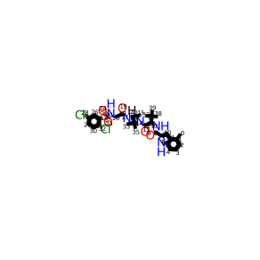 Cc1cccc2[nH]c(C(=O)N[C@H](C(=O)N3C[C@H]4N(C(=O)CNS(=O)(=O)c5cc(Cl)ccc5Cl)CC43C)C(C)(C)C)cc12